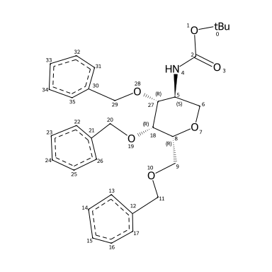 CC(C)(C)OC(=O)N[C@H]1CO[C@H](COCc2ccccc2)[C@H](OCc2ccccc2)[C@@H]1OCc1ccccc1